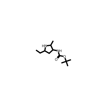 CCC1CC(NC(=O)OC(C)(C)C)C(C)N1